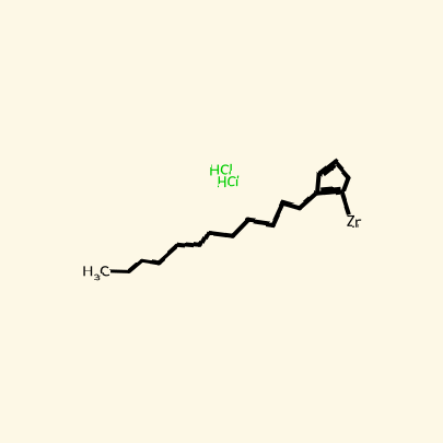 CCCCCCCCCCCCC1=[C]([Zr])CC=C1.Cl.Cl